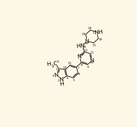 Cc1n[nH]c2ccc(-c3cncc(NN4CCNCC4)n3)cc12